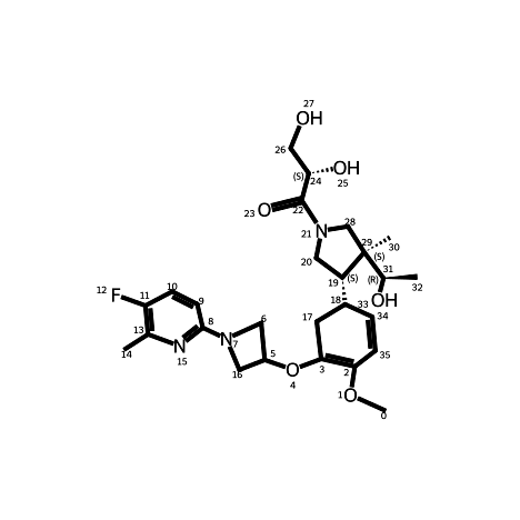 COC1=C(OC2CN(c3ccc(F)c(C)n3)C2)CC([C@@H]2CN(C(=O)[C@@H](O)CO)C[C@@]2(C)[C@@H](C)O)C=C1